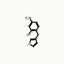 O=[N+]([O-])c1ccc(Cc2ccoc2)c(Cl)c1